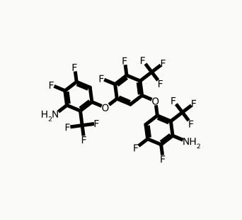 Nc1c(F)c(F)cc(Oc2cc(Oc3cc(F)c(F)c(N)c3C(F)(F)F)c(C(F)(F)F)c(F)c2F)c1C(F)(F)F